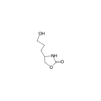 O=C1NC(CCCO)CO1